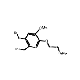 COCCOc1cc(CBr)c(CBr)cc1OC